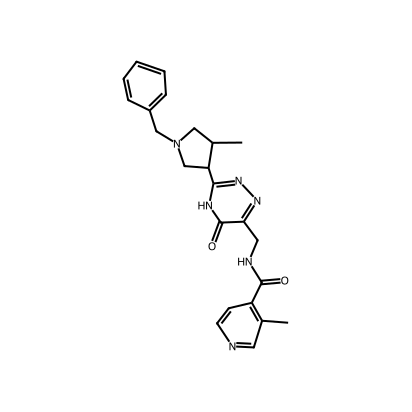 Cc1cnccc1C(=O)NCc1nnc(C2CN(Cc3ccccc3)CC2C)[nH]c1=O